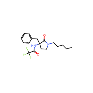 CCCCCN1CCC(Cc2ccccc2)(NC(=O)C(F)(F)F)C1=O